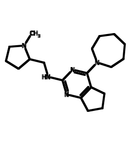 CN1CCCC1CNc1nc2c(c(N3CCCCCC3)n1)CCC2